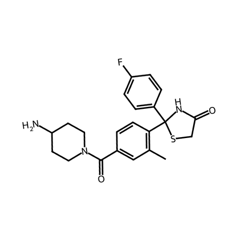 Cc1cc(C(=O)N2CCC(N)CC2)ccc1C1(c2ccc(F)cc2)NC(=O)CS1